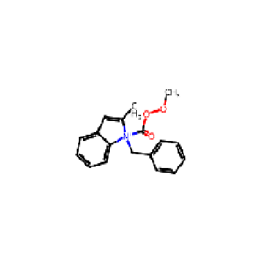 COOC(=O)[N+]1(Cc2ccccc2)C(C)=Cc2ccccc21